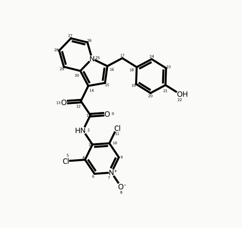 O=C(Nc1c(Cl)c[n+]([O-])cc1Cl)C(=O)c1cc(Cc2ccc(O)cc2)n2ccccc12